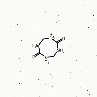 O=C1[SiH2]C[SiH2]C(=O)[SiH2]C[SiH2]1